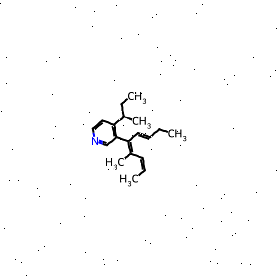 C\C=C/C(C)=C(\C=C\CC)c1cnccc1[C@H](C)CC